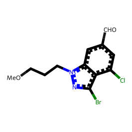 COCCCn1nc(Br)c2c(Cl)cc(C=O)cc21